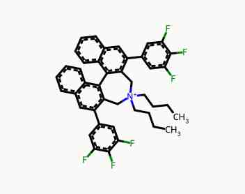 CCCC[N+]1(CCCC)Cc2c(-c3cc(F)c(F)c(F)c3)cc3ccccc3c2-c2c(c(-c3cc(F)c(F)c(F)c3)cc3ccccc23)C1